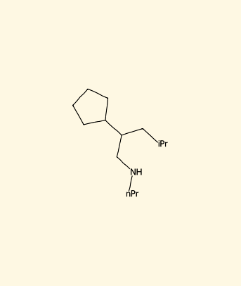 CCCNCC(CC(C)C)C1CCCC1